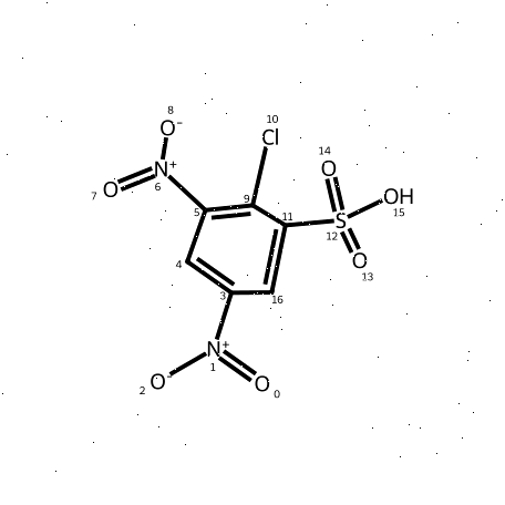 O=[N+]([O-])c1cc([N+](=O)[O-])c(Cl)c(S(=O)(=O)O)c1